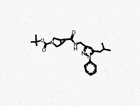 CC(C)Cc1cc(CNC(=O)C2C3CN(C(=O)OC(C)(C)C)CC32)nn1-c1ccccc1